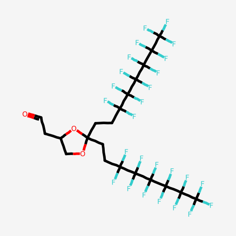 O=CCC1COC(CCC(F)(F)C(F)(F)C(F)(F)C(F)(F)C(F)(F)C(F)(F)F)(CCC(F)(F)C(F)(F)C(F)(F)C(F)(F)C(F)(F)C(F)(F)F)O1